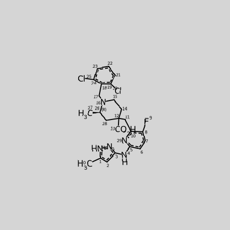 Cc1cc(Nc2ccc(F)c(CC3(C(=O)O)CCN(Cc4c(Cl)cccc4Cl)[C@H](C)C3)n2)n[nH]1